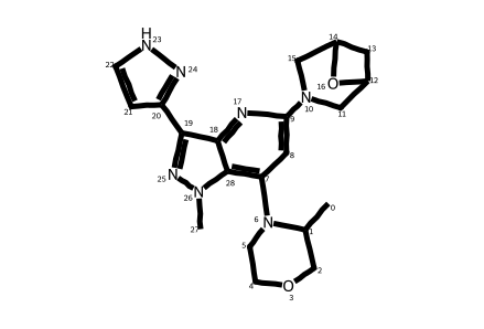 CC1COCCN1c1cc(N2CC3CC(C2)O3)nc2c(-c3cc[nH]n3)nn(C)c12